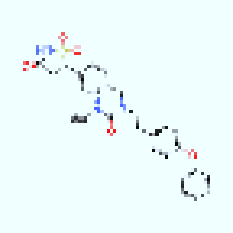 CC(C)(C)NC(=O)N(CCc1ccc(Oc2ccccc2)cc1)Cc1ccc(C2CC(=O)NS2(=O)=O)cc1